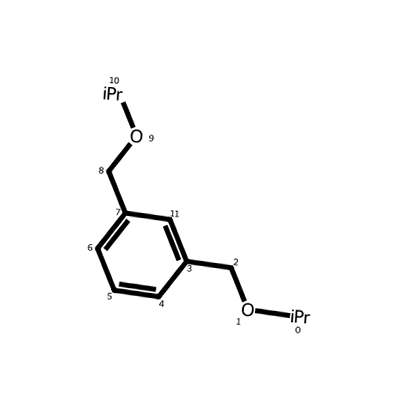 CC(C)OCc1cccc(COC(C)C)c1